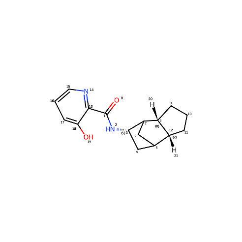 O=C(N[C@H]1CC2CC1[C@@H]1CCC[C@H]21)c1ncccc1O